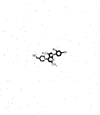 Cc1cc(N2CCC(CC#N)CC2)c2c(C)cn(-c3ccc(C(C)C)cc3Br)c2n1